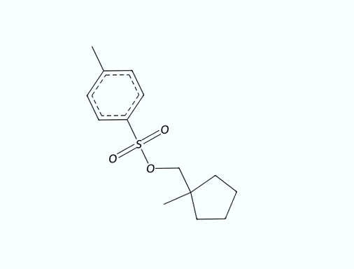 Cc1ccc(S(=O)(=O)OCC2(C)CCCC2)cc1